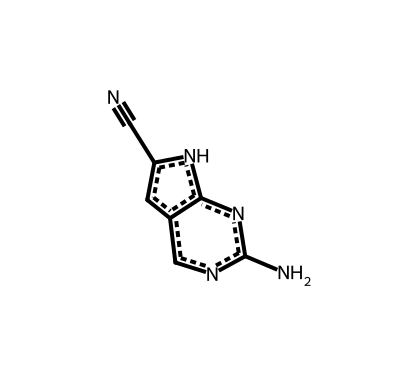 N#Cc1cc2cnc(N)nc2[nH]1